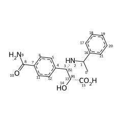 CC(N[C@@H](c1ccc(C(N)=O)cc1)[C@@H](O)C(=O)O)c1ccccc1